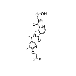 Cc1cc(C(C)N2Cc3c(ccnc3C(=O)NC[C@H](C)O)C2=O)cnc1OCC(F)F